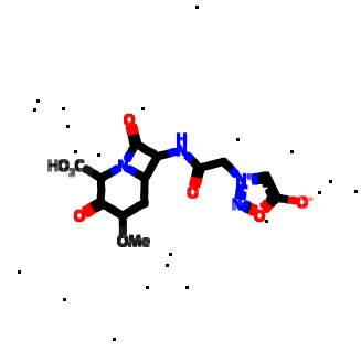 COC1CC2C(NC(=O)C[n+]3cc([O-])on3)C(=O)N2C(C(=O)O)C1=O